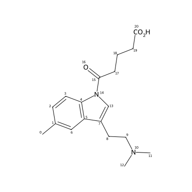 Cc1ccc2c(c1)c(CCN(C)C)cn2C(=O)CCCC(=O)O